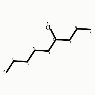 CCCCCC(Cl)CCC